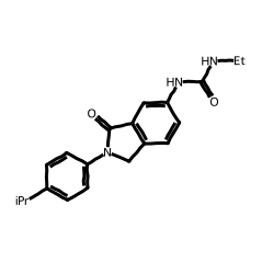 CCNC(=O)Nc1ccc2c(c1)C(=O)N(c1ccc(C(C)C)cc1)C2